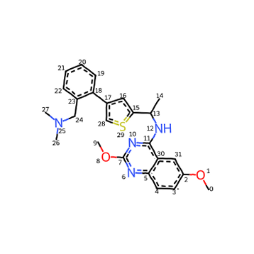 COc1[c]cc2nc(OC)nc(NC(C)c3cc(-c4ccccc4CN(C)C)cs3)c2c1